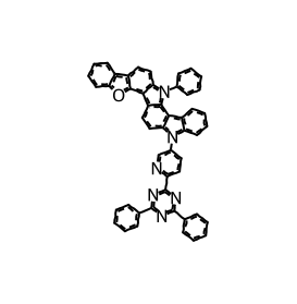 c1ccc(-c2nc(-c3ccccc3)nc(-c3ccc(-n4c5ccccc5c5c4ccc4c6c7oc8ccccc8c7ccc6n(-c6ccccc6)c45)cn3)n2)cc1